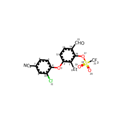 CCc1c(Oc2ccc(C#N)cc2Cl)ccc(C=O)c1OS(=O)(=O)C(F)(F)F